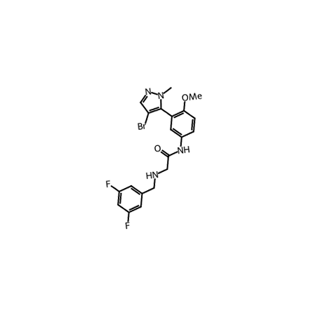 COc1ccc(NC(=O)CNCc2cc(F)cc(F)c2)cc1-c1c(Br)cnn1C